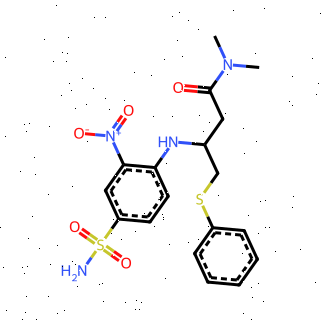 CN(C)C(=O)CC(CSc1ccccc1)Nc1ccc(S(N)(=O)=O)cc1[N+](=O)[O-]